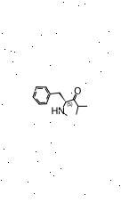 CN[C@@H](Cc1ccccc1)C(=O)C(C)C